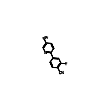 CCCc1ccc(-c2ccc(C#N)c(F)c2)nc1